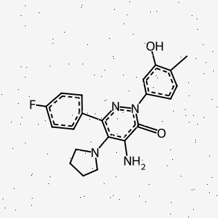 Cc1ccc(-n2nc(-c3ccc(F)cc3)c(N3CCCC3)c(N)c2=O)cc1O